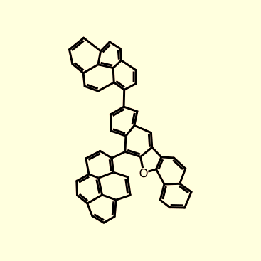 c1ccc2c(c1)ccc1c3cc4cc(-c5ccc6ccc7cccc8ccc5c6c78)ccc4c(-c4ccc5ccc6cccc7ccc4c5c67)c3oc21